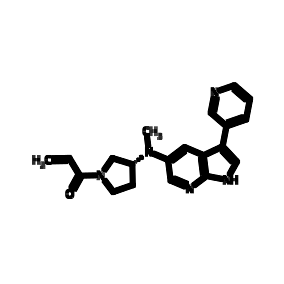 C=CC(=O)N1CC[C@@H](N(C)c2cnc3[nH]cc(-c4cccnc4)c3c2)C1